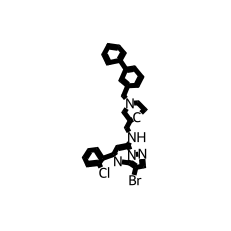 Clc1ccccc1-c1cc(NCC2CCCN(Cc3cccc(-c4ccccc4)c3)C2)n2ncc(Br)c2n1